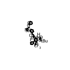 CC(C)(C)OC(=O)Nc1cc(OCC(F)(F)F)c(-c2ccccc2F)cc1NC(=O)CC(=O)c1cccc(-n2nncc2COC2CCCCO2)c1